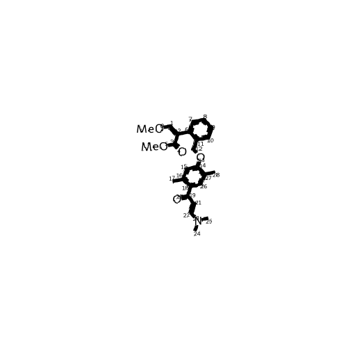 COC=C(C(=O)OC)c1ccccc1COc1cc(C)c(C(=O)C=CN(C)C)cc1C